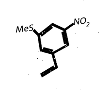 C=Cc1cc(SC)cc([N+](=O)[O-])c1